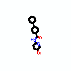 O=C(Nc1ccc(O)cn1)c1ccc(-c2ccccc2)cc1